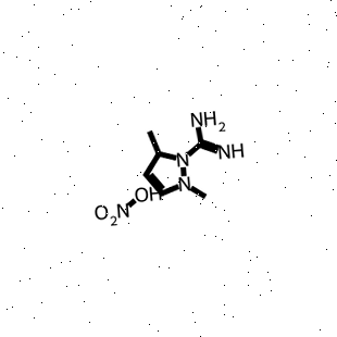 CC1C=CN(C)N1C(=N)N.O=[N+]([O-])O